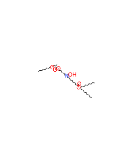 CCCCCCCCOCC(C)C(=O)OCCCCCN(CO)CCCCCCCC(=O)OC(CCCCCCCC)CCCCCCCC